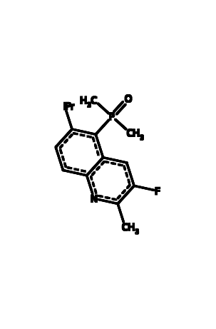 Cc1nc2ccc(C(C)C)c(P(C)(C)=O)c2cc1F